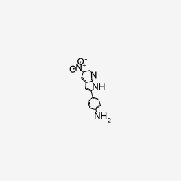 Nc1ccc(-c2cc3c([nH]2)=NCC([N+](=O)[O-])C=3)cc1